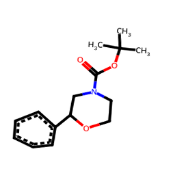 CC(C)(C)OC(=O)N1CCOC(c2ccccc2)C1